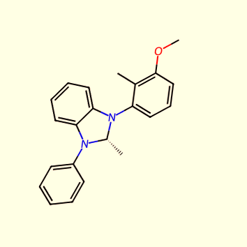 COc1cccc(N2c3ccccc3N(c3ccccc3)[C@H]2C)c1C